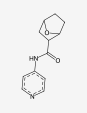 O=C(Nc1ccncc1)C1CC2CCC1O2